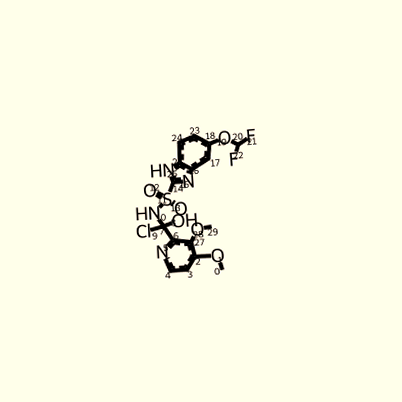 COc1ccnc(C(O)(Cl)NS(=O)(=O)c2nc3cc(OC(F)F)ccc3[nH]2)c1OC